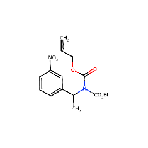 C=CCOC(=O)N(C(=O)OCC)C(C)c1cccc([N+](=O)[O-])c1